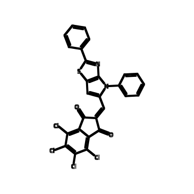 O=C1C(=Cc2cc3sc(-c4ccccc4)nc3n2-c2ccccc2)C(=O)c2c(Cl)c(Cl)c(Cl)c(Cl)c21